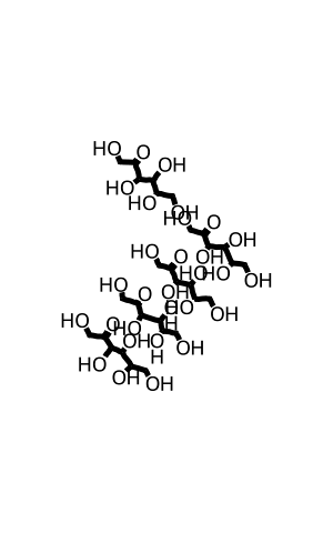 O=C(CO)C(O)C(O)C(O)CO.O=C(CO)C(O)C(O)C(O)CO.O=C(CO)C(O)C(O)C(O)CO.O=C(CO)C(O)C(O)C(O)CO.O=C(CO)C(O)C(O)C(O)CO